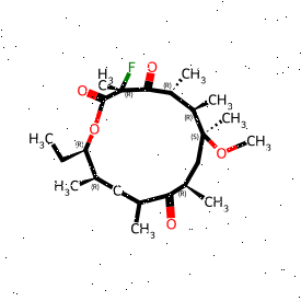 CC[C@H]1OC(=O)[C@](C)(F)C(=O)[C@H](C)[C@@H](C)[C@@](C)(OC)C[C@@H](C)C(=O)C(C)C[C@H]1C